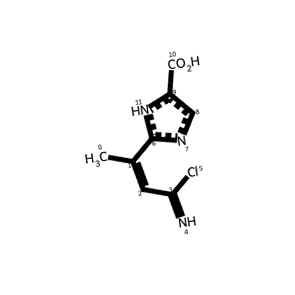 C/C(=C/C(=N)Cl)c1ncc(C(=O)O)[nH]1